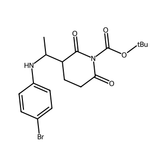 CC(Nc1ccc(Br)cc1)C1CCC(=O)N(C(=O)OC(C)(C)C)C1=O